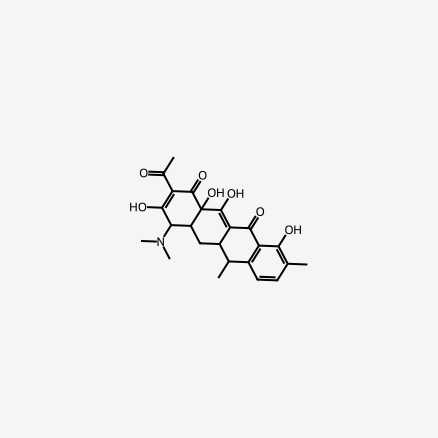 CC(=O)C1=C(O)C(N(C)C)C2CC3C(=C(O)C2(O)C1=O)C(=O)c1c(ccc(C)c1O)C3C